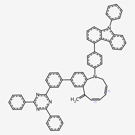 C=C1/C=C\C=C/CN(c2ccc(-c3cccc4c3c3ccccc3n4-c3ccccc3)cc2)c2ccc(-c3cccc(-c4nc(-c5ccccc5)nc(-c5ccccc5)n4)c3)cc21